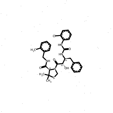 Cc1ccccc1CNC(=O)[C@H]1N(C(=O)[C@@H](O)[C@H](Cc2ccccc2)NC(=O)Nc2ccccc2Cl)CSC1(C)C